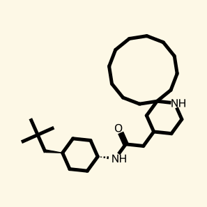 CC(C)(C)C[C@H]1CC[C@H](NC(=O)CC2CCNC3(CCCCCCCCCCC3)C2)CC1